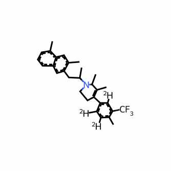 [2H]c1c([2H])c(C2=C(C)C(C)N(C(C)Cc3cc4cccc(C)c4cc3C)CC2)c([2H])c(C(F)(F)F)c1C